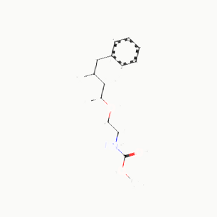 CC(Cc1ccccc1)[C@H](C)[C@H](C)OCCNC(=O)OC(C)(C)C